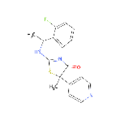 CC(NC1=NC(=O)C(C)(c2ccncc2)S1)c1ccccc1F